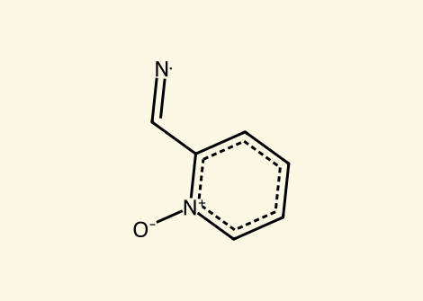 [N]=Cc1cccc[n+]1[O-]